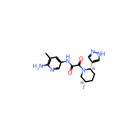 Cc1cc(NC(=O)C(=O)N2C[C@@H](C)CC[C@H]2c2cn[nH]c2)cnc1N